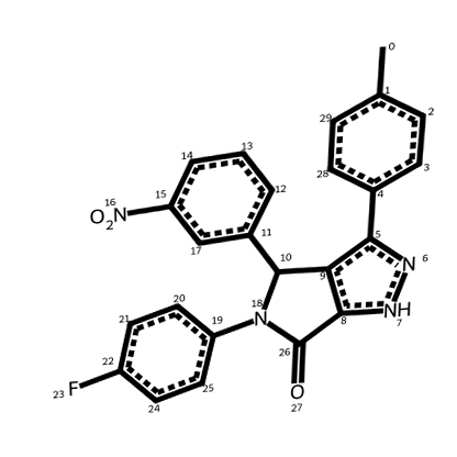 Cc1ccc(-c2n[nH]c3c2C(c2cccc([N+](=O)[O-])c2)N(c2ccc(F)cc2)C3=O)cc1